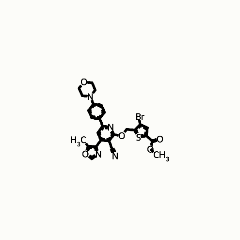 COC(=O)c1cc(Br)c(COc2nc(-c3ccc(N4CCOCC4)cc3)cc(-c3ncoc3C)c2C#N)s1